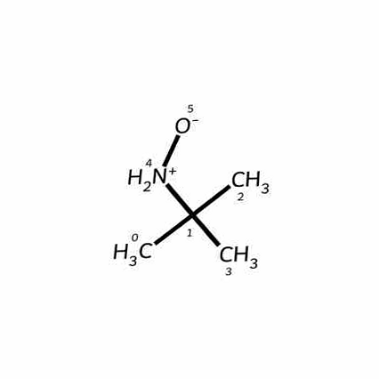 CC(C)(C)[NH2+][O-]